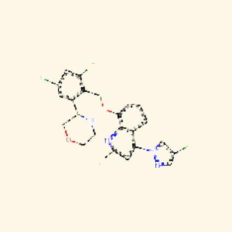 Cc1cc(-n2cc(F)cn2)c2cccc(OCc3c(Cl)cc(F)cc3C3COCCN3)c2n1